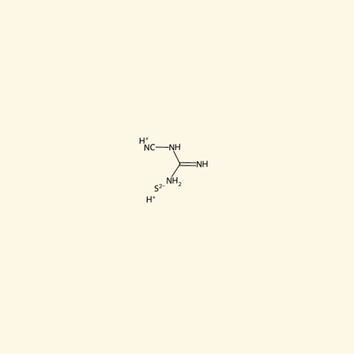 N#CNC(=N)N.[H+].[H+].[S-2]